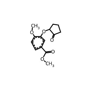 COC(=O)c1ccc(OC)c(OC2CCCC2=O)c1